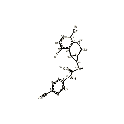 N#Cc1ccc(NC(=O)NC2C3COc4c(Br)ccc(F)c4C32)nc1